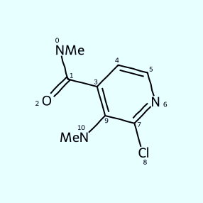 CNC(=O)c1ccnc(Cl)c1NC